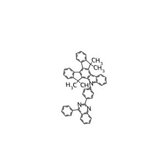 CC1(C)c2ccccc2-c2c3c(c4c(c21)c1ccccc1n4-c1ccc(-c2nc(-c4ccccc4)c4ccccc4n2)cc1)C(C)(C)c1ccccc1-3